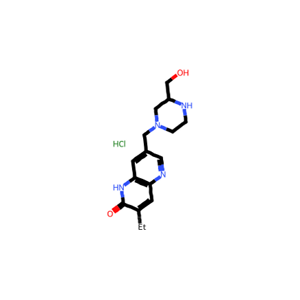 CCc1cc2ncc(CN3CCNC(CO)C3)cc2[nH]c1=O.Cl